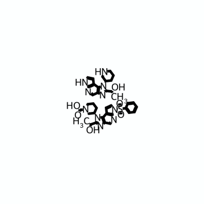 CC(O)c1nc2cnc3[nH]ccc3c2n1[C@@H]1CCCNC1.C[C@@H](O)c1nc2cnc3c(ccn3S(=O)(=O)c3ccccc3)c2n1[C@@H]1CCCN(C(=O)O)C1